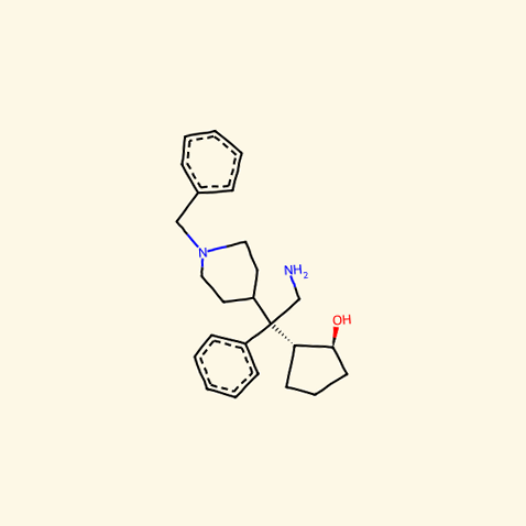 NCC(c1ccccc1)(C1CCN(Cc2ccccc2)CC1)[C@H]1CCC[C@@H]1O